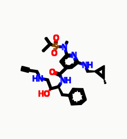 C#CCNC[C@@H](O)[C@H](Cc1ccccc1)NC(=O)c1cc(NC[C@H]2C[C@@H]2C)nc(N(C)S(=O)(=O)C(C)C)c1